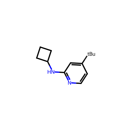 CC(C)(C)c1ccnc(NC2CCC2)c1